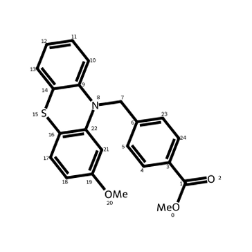 COC(=O)c1ccc(CN2c3ccccc3Sc3ccc(OC)cc32)cc1